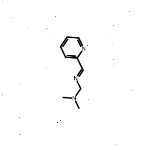 CN(C)CN=Cc1ccccn1